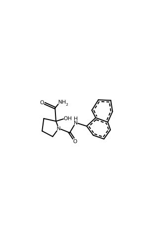 NC(=O)C1(O)CCCN1C(=O)Nc1cccc2ccccc12